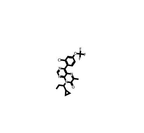 CCC(C1CC1)n1c(=O)c(C)nc2c(-c3ccc(OC(F)(F)F)cc3Cl)ncnc21